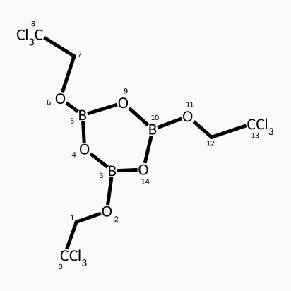 ClC(Cl)(Cl)COB1OB(OCC(Cl)(Cl)Cl)OB(OCC(Cl)(Cl)Cl)O1